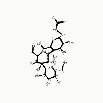 CC(=O)N[C@@H]1[C@@H](ONC(N)=O)O[C@H](CO)[C@](O)([C@@H]2O[C@H](CO)[C@H](O)[C@@](O)([C@@H]3O[C@H](CO)[C@H](O)[C@H](O)[C@H]3O)[C@H]2O)[C@@H]1O